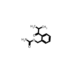 CC(C)C(=O)c1ccccc1COC(N)=O